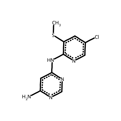 CSc1cc(Cl)cnc1Nc1cc(N)ncn1